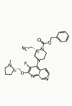 CN1CCC[C@H]1COc1nc2cnccc2c(N2CCN(C(=O)OCc3ccccc3)[C@@H](CC#N)C2)c1F